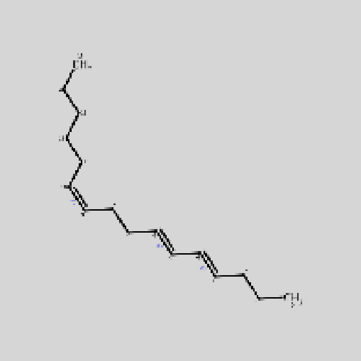 [CH2]CC/C=C/C=C/CC/C=C\CCCCC